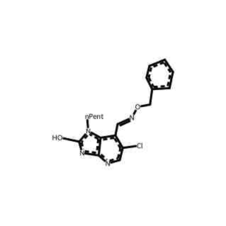 CCCCCn1c(O)nc2ncc(Cl)c(/C=N/OCc3ccccc3)c21